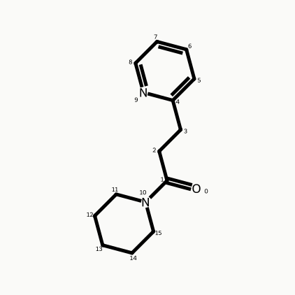 O=C(CCc1ccccn1)N1CCCCC1